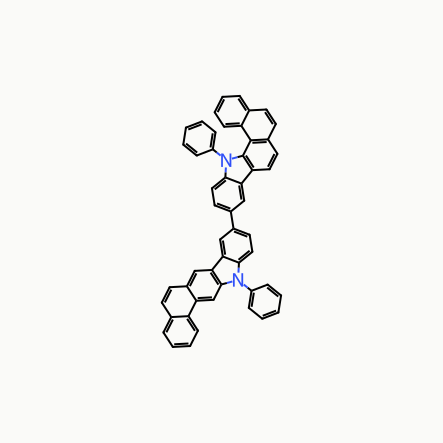 c1ccc(-n2c3ccc(-c4ccc5c(c4)c4ccc6ccc7ccccc7c6c4n5-c4ccccc4)cc3c3cc4ccc5ccccc5c4cc32)cc1